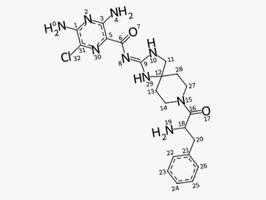 Nc1nc(N)c(C(=O)/N=C2\NCC3(CCN(C(=O)C(N)Cc4ccccc4)CC3)N2)nc1Cl